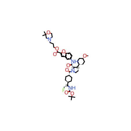 CO[C@H]1CC[C@H]([C@@H]2CCN(C(=O)[C@H]3CC[C@H]([C@@H](CF)NC(=O)OC(C)(C)C)CC3)[C@@H]2C(=O)Nc2ccc3oc(C(=O)OCCCN4CCOC(C)(C)C4)cc3c2)CC1